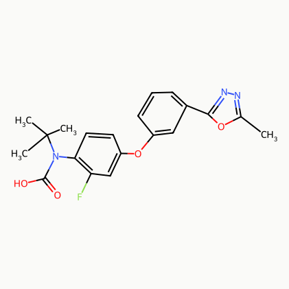 Cc1nnc(-c2cccc(Oc3ccc(N(C(=O)O)C(C)(C)C)c(F)c3)c2)o1